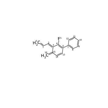 C=C/C=c1/c(F)c(-c2ccccc2)ccc1=C